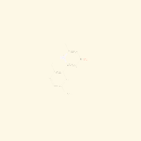 COc1ccc(C)c(-c2cc(=O)cc(C)[nH]2)c1